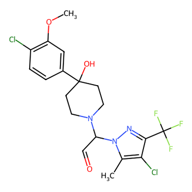 COc1cc(C2(O)CCN(C(C=O)n3nc(C(F)(F)F)c(Cl)c3C)CC2)ccc1Cl